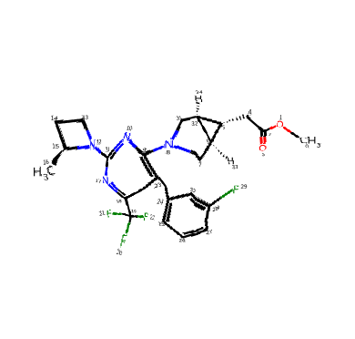 COC(=O)C[C@@H]1[C@H]2CN(c3nc(N4CC[C@@H]4C)nc(C(F)(F)F)c3-c3cccc(F)c3)C[C@@H]12